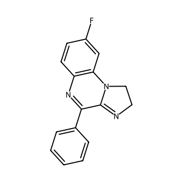 Fc1ccc2c(c1)N1CCN=C1C(c1ccccc1)=N2